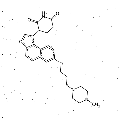 CN1CCN(CCCOc2ccc3c(ccc4occ(C5CCC(=O)NC5=O)c43)c2)CC1